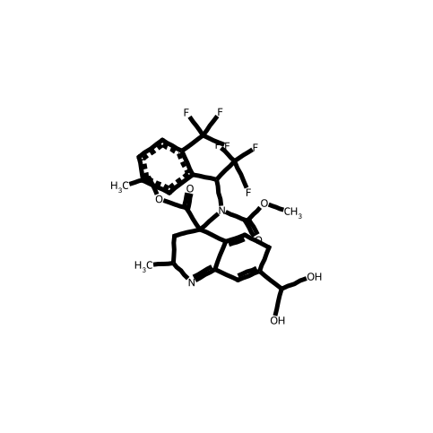 CCOC(=O)C1(N(C(=O)OC)C(c2ccccc2C(F)(F)F)C(F)(F)F)CC(C)N=C2C=C(C(O)O)CC=C21